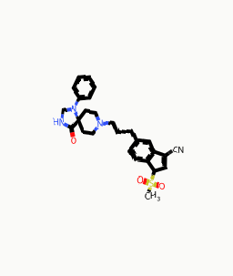 CS(=O)(=O)C1C=C(C#N)c2cc(CCCN3CCC4(CC3)C(=O)NCN4c3ccccc3)ccc21